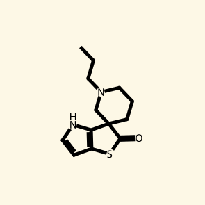 CCCN1CCCC2(C1)C(=O)Sc1cc[nH]c12